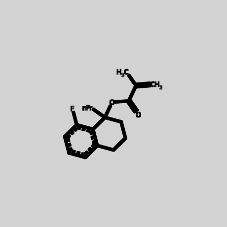 C=C(C)C(=O)OC1(CCC)CCCc2cccc(F)c21